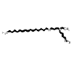 CCCCCCCCCCCCCCCCOCCCN(CC)CCCCN